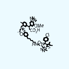 COc1cc(C(CC(=O)O)c2ccc(C)c(CN3C[C@@H](C)Oc4cc(CCCCCCNC(=O)C[C@@H]5N=C(c6ccc(Cl)cc6)c6c(sc(C)c6C)-n6c(C)nnc65)ccc4S3)c2)cc2nnn(C)c12